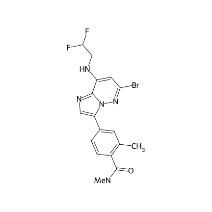 CNC(=O)c1ccc(-c2cnc3c(NCC(F)F)cc(Br)nn23)cc1C